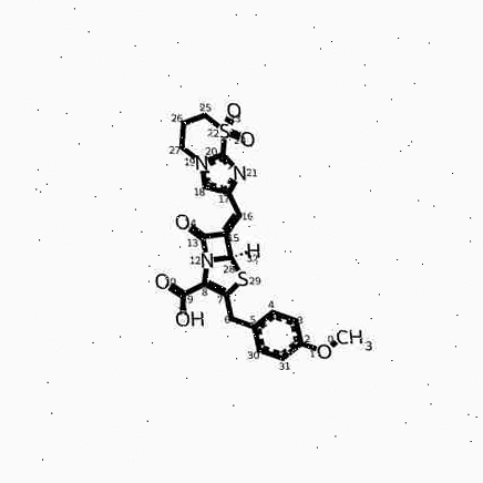 COc1ccc(CC2=C(C(=O)O)N3C(=O)C(=Cc4cn5c(n4)S(=O)(=O)CCC5)[C@H]3S2)cc1